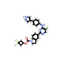 O=C(OC1CC(F)(F)C1)N1CCc2cc(-c3ncc(F)c(Nc4ccc(-c5cn[nH]c5)cc4)n3)ccc21